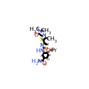 Cc1nc(C(=O)N(C)C)sc1-c1csc(Nc2cc(C(N)=O)ccc2OC(C)C)n1